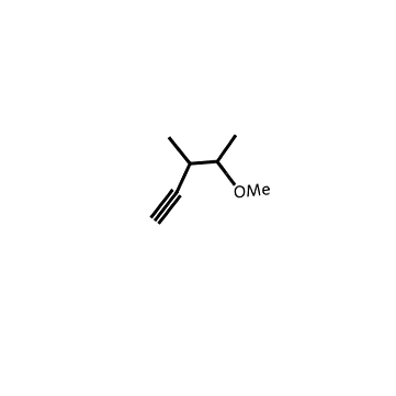 C#CC(C)C(C)OC